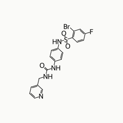 O=C(NCc1cccnc1)Nc1ccc(NS(=O)(=O)c2ccc(F)cc2Br)cc1